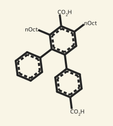 CCCCCCCCc1cc(-c2ccc(C(=O)O)cc2)c(-c2ccccc2)c(CCCCCCCC)c1C(=O)O